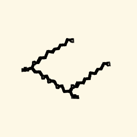 CCCCC(CCOCOCOCCC(CCCC)OC=CCCCCCCCCCl)OC=CCCCCCCCCCl